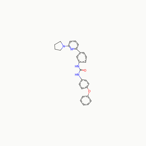 O=C(Nc1ccc(Oc2ccccc2)cc1)Nc1cccc(-c2cccc(N3CCCC3)n2)c1